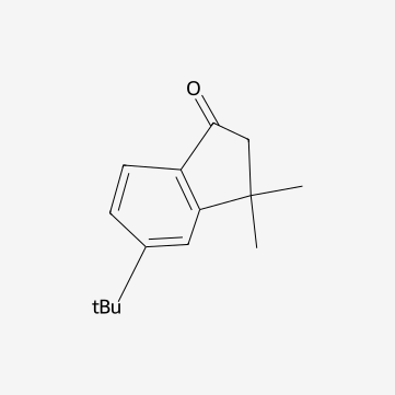 CC(C)(C)c1ccc2c(c1)C(C)(C)CC2=O